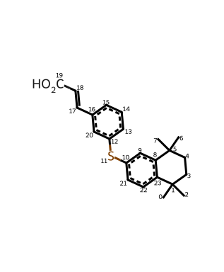 CC1(C)CCC(C)(C)c2cc(Sc3cccc(C=CC(=O)O)c3)ccc21